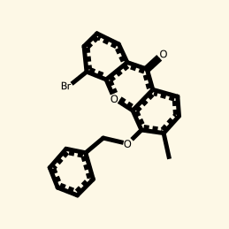 Cc1ccc2c(=O)c3cccc(Br)c3oc2c1OCc1ccccc1